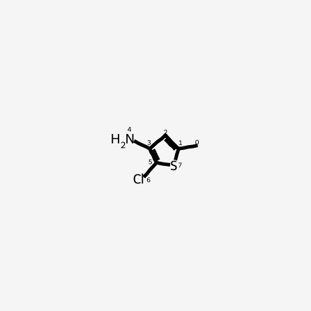 Cc1cc(N)c(Cl)s1